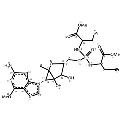 COC(=O)C(CC(C)C)NP(=O)(NC(CC(C)C)C(=O)OC)OC[C@H]1OC2(C)[C@@H](n3cnc4c(OC)nc(N)nc43)C2(O)C1O